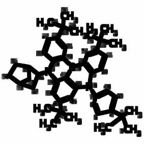 CC(C)(C)c1ccc(N2c3ccc(C(C)(C)C)cc3B3c4cc(C(C)(C)C)ccc4N(C4CC5CCC4C5)c4cc(C(C)(C)C)cc2c43)cc1